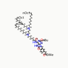 CCCCCCCC/C=C\CCCCCCCCN(CCCCCCCC/C=C\CCCCCCCC)CCCN(CCCCCCCC/C=C\CCCCCCCC)CCCCCC(=O)Nc1nc(OCCCC)nc2c1[nH]c(=O)n2Cc1cccc(CC(=O)OC)c1